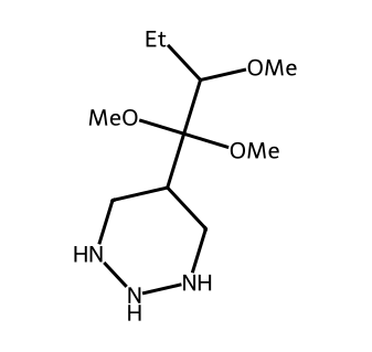 CCC(OC)C(OC)(OC)C1CNNNC1